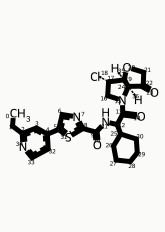 CCc1cc(-c2cnc(C(=O)NC(C(=O)N3C[C@H](Cl)[C@H]4OCC(=O)[C@H]43)C3CCCCC3)s2)ccn1